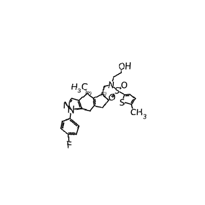 Cc1ccc(S(=O)(=O)N(CCO)C[C@H]2CCC3=C2[C@@H](C)c2cnn(-c4ccc(F)cc4)c2C3)s1